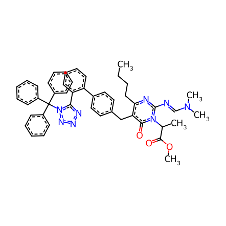 CCCCc1nc(N=CN(C)C)n(C(C)C(=O)OC)c(=O)c1Cc1ccc(-c2ccccc2-c2nnnn2C(c2ccccc2)(c2ccccc2)c2ccccc2)cc1